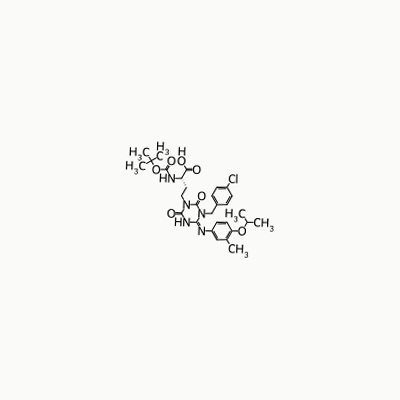 Cc1cc(/N=c2/[nH]c(=O)n(CC[C@H](NC(=O)OC(C)(C)C)C(=O)O)c(=O)n2Cc2ccc(Cl)cc2)ccc1OC(C)C